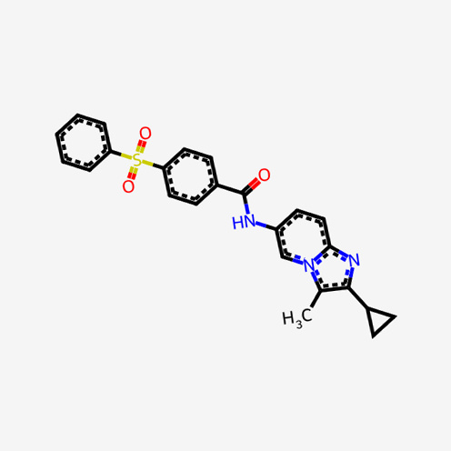 Cc1c(C2CC2)nc2ccc(NC(=O)c3ccc(S(=O)(=O)c4ccccc4)cc3)cn12